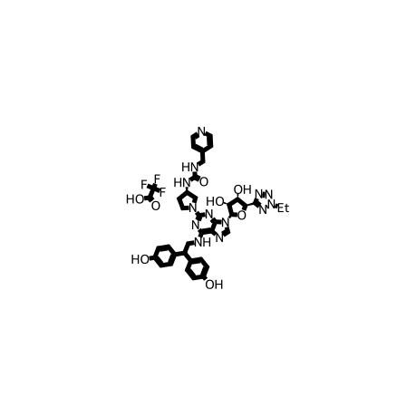 CCn1nnc([C@H]2O[C@@H](n3cnc4c(NCC(c5ccc(O)cc5)c5ccc(O)cc5)nc(N5CC[C@@H](NC(=O)NCc6ccncc6)C5)nc43)[C@H](O)[C@@H]2O)n1.O=C(O)C(F)(F)F